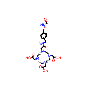 O=CNOCc1ccc(CNC(=O)CN2CCN(CC(=O)O)CCN(CC(=O)O)CCN(CC(=O)O)CC2)cc1